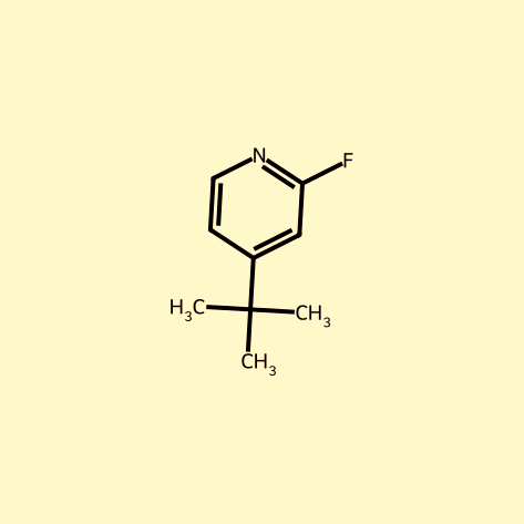 CC(C)(C)c1ccnc(F)c1